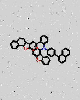 c1ccc(N(c2ccc(-c3cccc4ccccc34)cc2)c2cccc3oc4ccccc4c23)c(-c2ccc3oc4c5ccccc5ccc4c3c2)c1